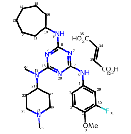 COc1ccc(Nc2nc(NC3CCCCCC3)nc(N(C)C3CCN(C)CC3)n2)cc1F.O=C(O)C=CC(=O)O